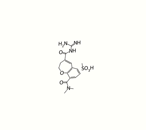 CN(C)C(=O)c1cccc2c1OCCC(C(=O)NC(=N)N)=C2.CS(=O)(=O)O